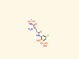 CS(=O)(=O)NC(=O)[C@@H](N)CCC(=O)Nc1cc(Cl)cc(S(=O)(=O)O)c1O